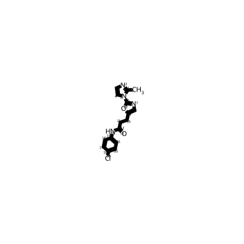 Cc1nccn1-c1ncc(CCC(=O)Nc2ccc(Cl)cc2)o1